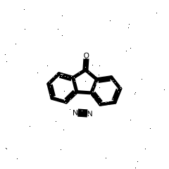 N#N.O=C1c2ccccc2-c2ccccc21